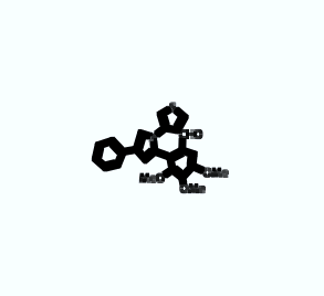 COc1cc(C=O)c(-c2cc(-c3ccccc3)cn2-c2ccsc2)c(OC)c1OC